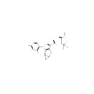 CNC(=O)[C@@H](NC(=O)c1nn(-c2ccc(F)cc2F)c2c1C[C@H]1C[C@@H]21)C(C)(C)C